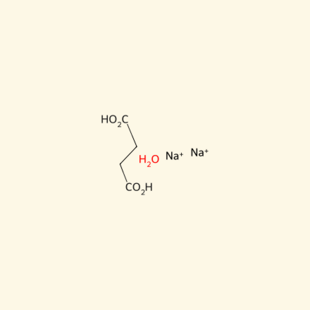 O.O=C(O)CCC(=O)O.[Na+].[Na+]